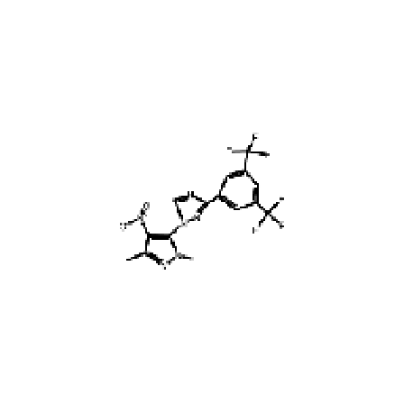 Cc1nn(C)c(-n2cnc(-c3cc(C(F)(F)F)cc(C(F)(F)F)c3)n2)c1[N+](=O)[O-]